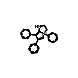 C1=C(c2ccccc2)C(c2ccccc2)=C2NCC[N+]12c1ccccc1